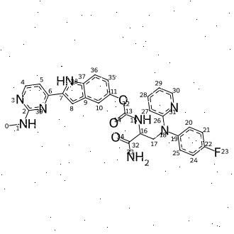 CNc1nccc(-c2cc3cc(OC(=O)NC(CN(c4ccc(F)cc4)c4ccccn4)C(N)=O)ccc3[nH]2)n1